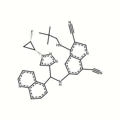 CC(C)(C)CNc1c(C#N)cnc2c(C#N)cc(NC(c3cn([C@@H]4C[C@@H]4F)nn3)c3cccc4ncccc34)cc12